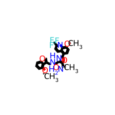 CCOc1cccc2occ(CNC(=O)c3nc(-c4ccc(OC)c5nc(C(F)(F)F)ccc45)oc3[C@H](C)N)c12